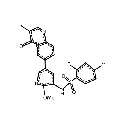 COc1ncc(-c2ccc3ncc(C)c(=O)n3c2)cc1NS(=O)(=O)c1ccc(Cl)cc1F